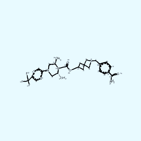 C[C@@H]1CN(c2cnc(C(F)(F)F)cn2)C[C@@H](C)N1C(=O)OC1CC2(C1)CN(Cc1ccc(C(N)=O)cc1)C2